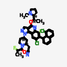 CC(F)C(=O)N1CC[C@H](n2ncc3c(O[C@@H](C)[C@@H]4CCCN4C)nc4c(F)c(-c5cccc6cccc(Cl)c56)c(Cl)cc4c32)C[C@H]1CC#N